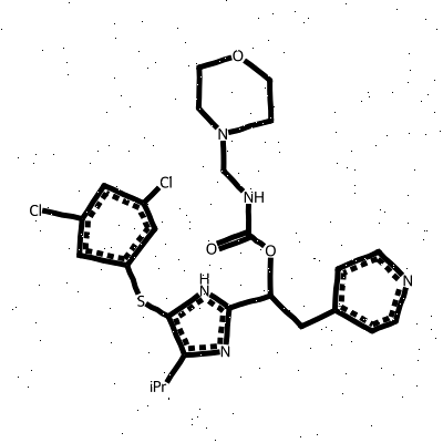 CC(C)c1nc(C(Cc2ccncc2)OC(=O)NCN2CCOCC2)[nH]c1Sc1cc(Cl)cc(Cl)c1